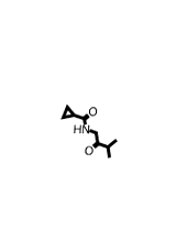 CC(C)C(=O)CNC(=O)C1CC1